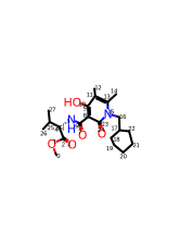 COC(=O)[C@@H](NC(=O)c1c(O)c(C)c(C)n(CC2CCCCC2)c1=O)C(C)C